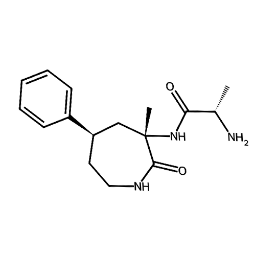 C[C@H](N)C(=O)N[C@@]1(C)C[C@H](c2ccccc2)CCNC1=O